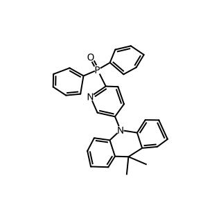 CC1(C)c2ccccc2N(c2ccc(P(=O)(c3ccccc3)c3ccccc3)nc2)c2ccccc21